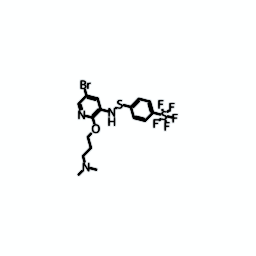 CN(C)CCCOc1ncc(Br)cc1NSc1ccc(S(F)(F)(F)(F)F)cc1